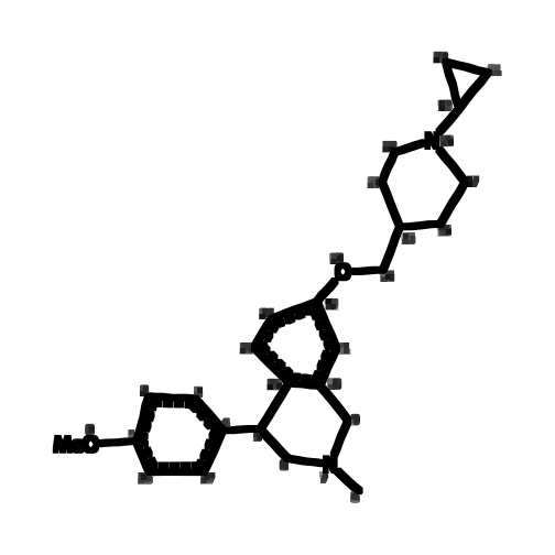 COc1ccc(C2CN(C)Cc3cc(OCC4CCN(C5CC5)CC4)ccc32)cc1